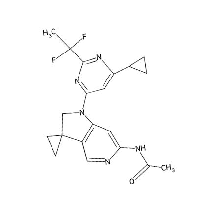 CC(=O)Nc1cc2c(cn1)C1(CC1)CN2c1cc(C2CC2)nc(C(C)(F)F)n1